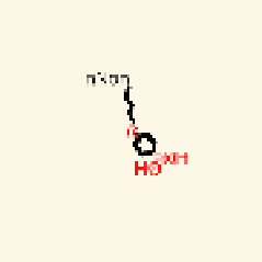 CCCCCCCCCCCCCCOc1ccc(B(O)O)cc1